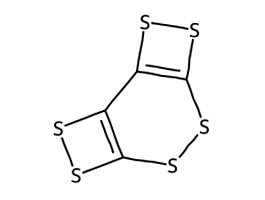 S1Sc2ssc2-c2ssc21